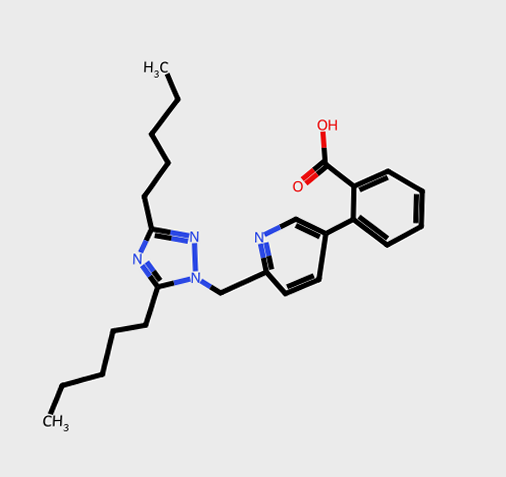 CCCCCc1nc(CCCCC)n(Cc2ccc(-c3ccccc3C(=O)O)cn2)n1